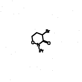 CC(C)N1OCCC(Br)C1=O